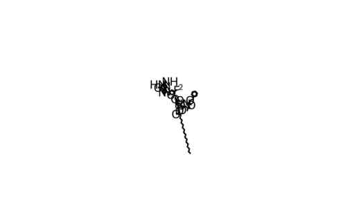 CCCCCCCCCCCCCCCCCC(=O)OCC(CC(=O)OC[C@H]1O[C@@H](n2cnc3c(=O)[nH]c(N)nc32)CC1F)OC(=O)[C@@H](NC(=O)OCc1ccccc1)C(C)C